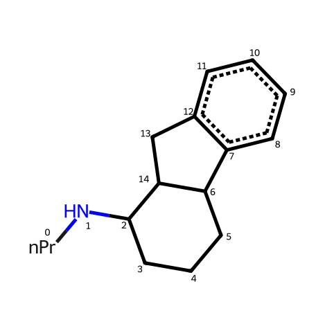 CCCNC1CCCC2c3ccccc3CC12